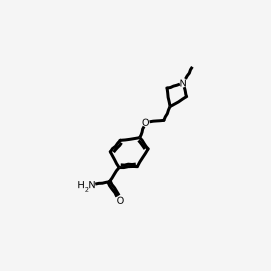 CN1CC(COc2ccc(C(N)=O)cc2)C1